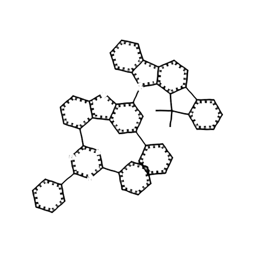 CC1(C)c2ccccc2-c2ccc3c4ccccc4n(-c4cc(-c5ccccc5)cc5c4oc4cccc(-c6nc(-c7ccccc7)nc(-c7ccccc7)n6)c45)c3c21